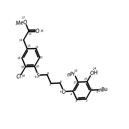 CCCCc1ccc(OCCCSc2ccc(CC(=O)OC)cc2Cl)c(CCC)c1O